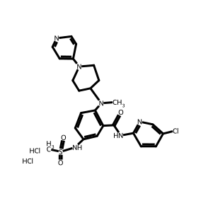 CN(c1ccc(NS(C)(=O)=O)cc1C(=O)Nc1ccc(Cl)cn1)C1CCN(c2ccncc2)CC1.Cl.Cl